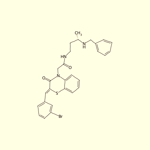 C[C@@H](CCNC(=O)CN1C(=O)C(=Cc2cccc(Br)c2)Sc2ccccc21)NCc1ccccc1